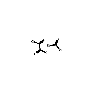 CCC(=O)CC.O=C(Cl)C(=O)Cl